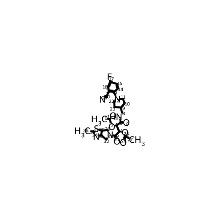 CC(=O)O[C@@H](C(=O)NCC1CCN(c2ccc(F)cc2C#N)CC1)[C@@H](OC(C)=O)C(=O)N1CC2N=C(C)SC2C1